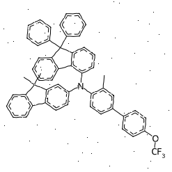 Cc1cc(-c2ccc(OC(F)(F)F)cc2)ccc1N(c1ccc2c(c1)C(C)(C)c1ccccc1-2)c1cccc2c1-c1ccccc1C2(c1ccccc1)c1ccccc1